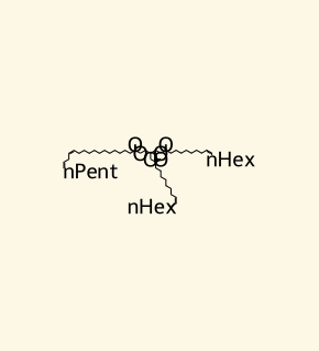 CCCCC/C=C\C/C=C\CCCCCCCCCCCC(=O)OC[C@@H](COC(=O)CCCCCCC/C=C\CCCCCC)OC(=O)CCCCCCC/C=C\CCCCCC